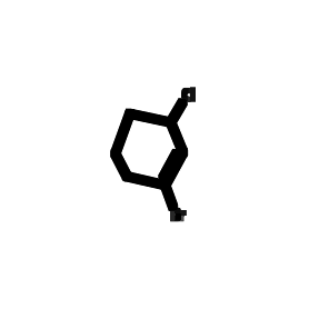 ClC1C=C(Br)CCC1